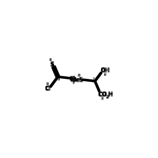 CSC(O)C(=O)O.S=C(Cl)Cl